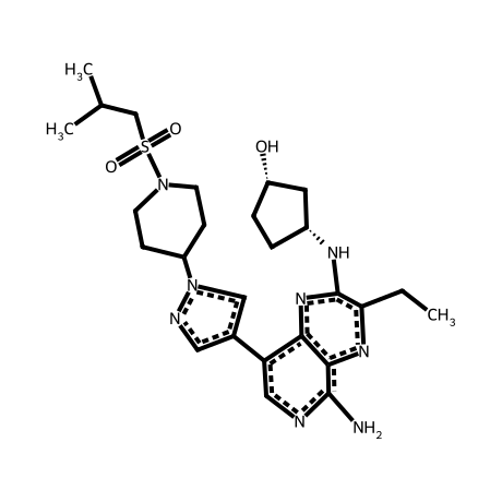 CCc1nc2c(N)ncc(-c3cnn(C4CCN(S(=O)(=O)CC(C)C)CC4)c3)c2nc1N[C@@H]1CC[C@H](O)C1